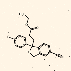 CCOC(=O)CCC1(c2ccc(F)cc2)OCc2cc(C#N)ccc21